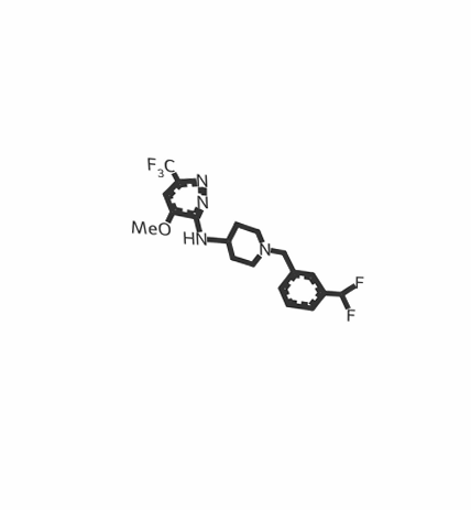 COc1cc(C(F)(F)F)nnc1NC1CCN(Cc2cccc(C(F)F)c2)CC1